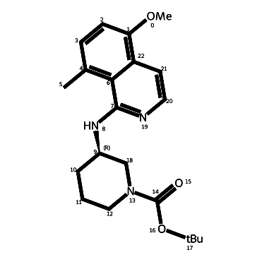 COc1ccc(C)c2c(N[C@@H]3CCCN(C(=O)OC(C)(C)C)C3)nccc12